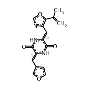 C=C(C)c1ocnc1/C=c1\[nH]c(=O)/c(=C/c2ccoc2)[nH]c1=O